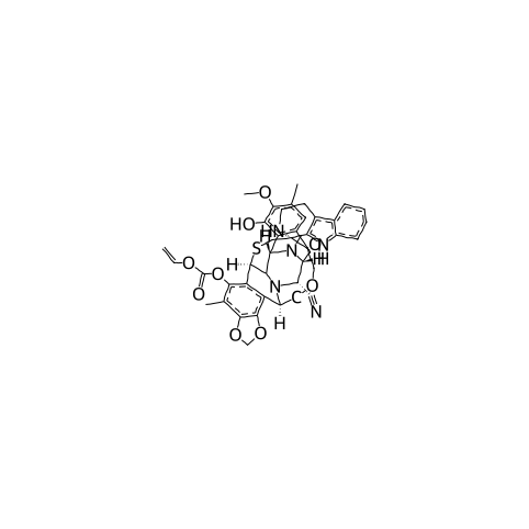 C=COC(=O)Oc1c(C)c2c(c3c1[C@H]1SC[C@]4(NCCc5c4[nH]c4ccccc54)C(=O)COC[C@@H]3N3C1[C@@H]1c4c(cc(C)c(OC)c4O)C[C@H]([C@@H]3C#N)N1C)OCO2